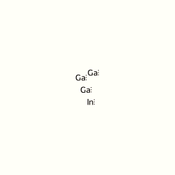 [Ga].[Ga].[Ga].[In]